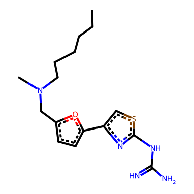 CCCCCCN(C)Cc1ccc(-c2csc(NC(=N)N)n2)o1